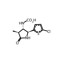 C[C@@H]1C(=O)N[C@H](c2ccc(Cl)s2)[C@H]1NC(=O)O